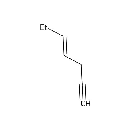 C#CC/C=C/CC